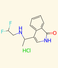 CC(NCC(F)F)c1c[nH]c(=O)c2ccccc12.Cl